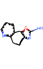 Nc1nc2c(o1)-c1cccnc1CC2